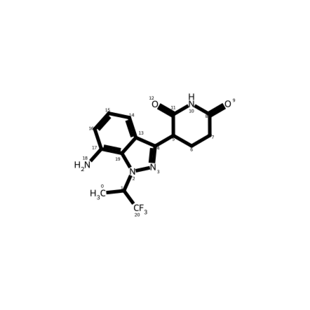 CC(n1nc(C2CCC(=O)NC2=O)c2cccc(N)c21)C(F)(F)F